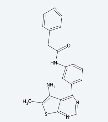 Cc1sc2ncnc(-c3cccc(NC(=O)Cc4ccccc4)c3)c2c1N